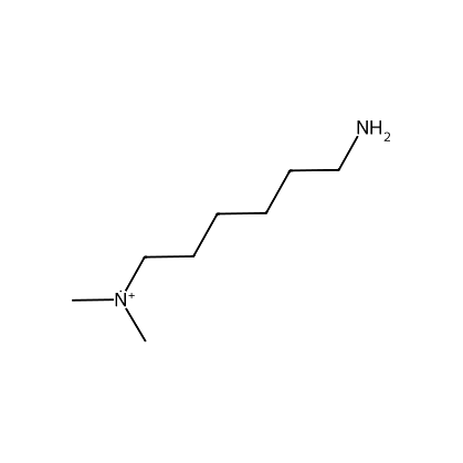 C[N+](C)CCCCCCN